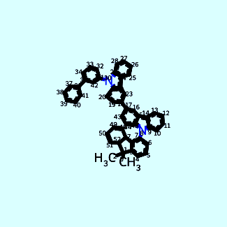 CC1(C)c2cccc(-n3c4ccccc4c4cc(-c5ccc6c(c5)c5ccccc5n6-c5cccc(-c6ccccc6)c5)ccc43)c2C2C=CC=CC21